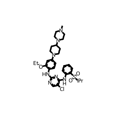 CCOc1cc(N2CCC(N3CCN(C)CC3)CC2)ccc1Nc1ncc(Cl)c(Nc2ccccc2S(=O)(=O)C(C)C)n1